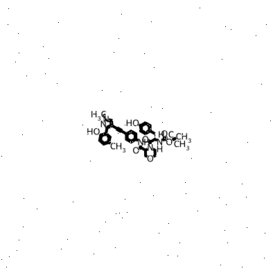 Cc1ccc(O)c(-c2nn(C)cc2C#Cc2ccc(NC(=O)C3COCCN3C(=O)[C@H](Cc3ccc(O)cc3)NC(=O)OC(C)(C)C)cc2)c1